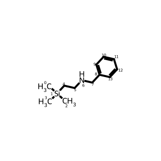 C[Si](C)(C)CCNCc1ccccc1